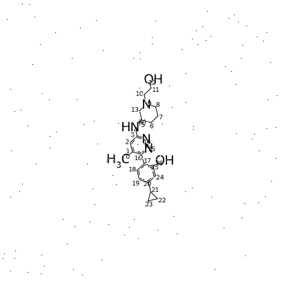 Cc1cc(N[C@@H]2CCCN(CCO)C2)nnc1-c1ccc(C2CC2)cc1O